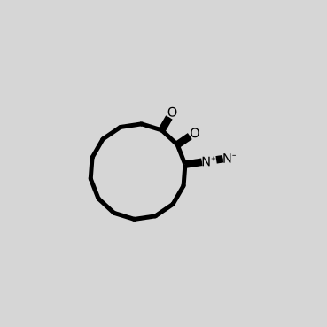 [N-]=[N+]=C1CCCCCCCCCCCC(=O)C1=O